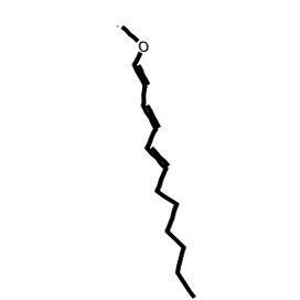 [CH2]OC=CC=CC=CCCCCCC